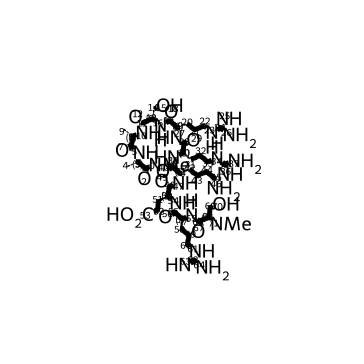 CNC(=O)[C@H](C)NC(=O)[C@H](C)NC(=O)[C@H](CO)NC(=O)[C@H](CCCNC(=N)N)NC(=O)[C@H](CCCNC(=N)N)NC(=O)[C@H](CCCCN)NC(=O)[C@H](CCC(=O)O)NC(=O)[C@H](CCCNC(=N)N)NC(=O)[C@H](CO)NC